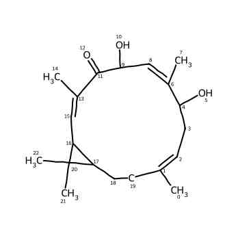 C/C1=C/CC(O)/C(C)=C\C(O)C(=O)/C(C)=C\C2C(CC1)C2(C)C